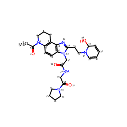 COC(=O)N1CCCc2c1ccc1c2nc(CCN2C=CC=CC2O)n1CC(=O)NCC(=O)N1CCCC1